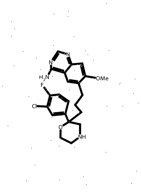 COc1cc2ncnc(N)c2cc1CCCC1(c2ccc(F)c(Cl)c2)CNCCO1